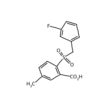 Cc1ccc(S(=O)(=O)Cc2cccc(F)c2)c(C(=O)O)c1